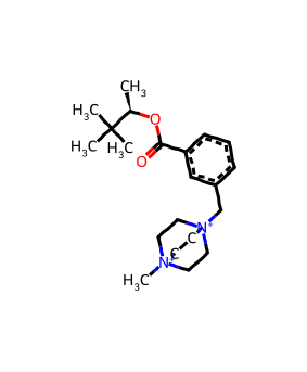 C[C@@H](OC(=O)c1cccc(C[N+]23CC[N+](C)(CC2)CC3)c1)C(C)(C)C